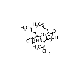 CSCC[C@H](NC(=O)[C@H](CC(C)C)NC(=O)[C@H](CCSC)NC=O)C(=O)O